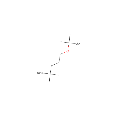 CC(=O)OC(C)(C)CCCOC(C)(C)C(C)=O